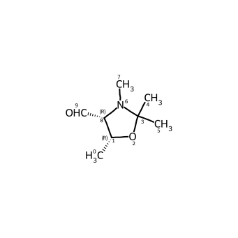 C[C@H]1OC(C)(C)N(C)[C@H]1C=O